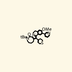 COc1cc2c(cc1-c1cccnc1)-c1c(C3=CCSCC3)c3c(n1CC2)C(=O)N(C(C)(C)C)CCCC3